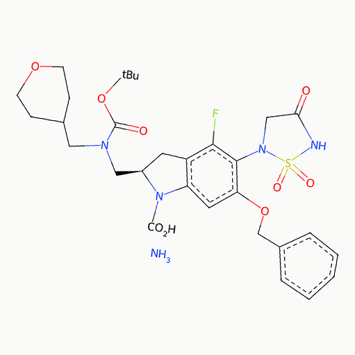 CC(C)(C)OC(=O)N(CC1CCOCC1)C[C@H]1Cc2c(cc(OCc3ccccc3)c(N3CC(=O)NS3(=O)=O)c2F)N1C(=O)O.N